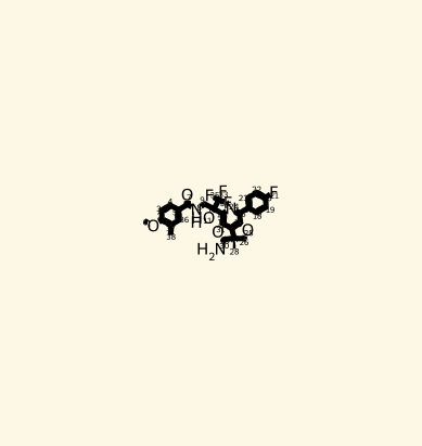 COc1ccc(C(=O)NCC(O)(c2cc3c(c(-c4ccc(F)cc4)n2)OC[C@]3(C)C(N)=O)C(F)(F)F)cc1C